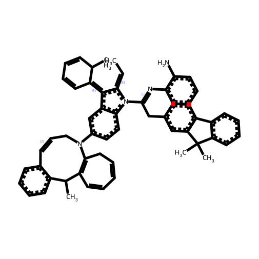 C/C=c1\c(=C2\C=CC=CC2C)c2cc(N3C/C=C\c4ccccc4C(C)C4=C3CC=CC=C4)ccc2n1/C(Cc1ccc2c(c1)C(C)(C)c1ccccc1-2)=N/c1ccccc1N